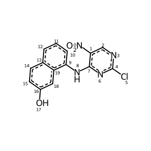 O=[N+]([O-])c1cnc(Cl)nc1Nc1cccc2ccc(O)cc12